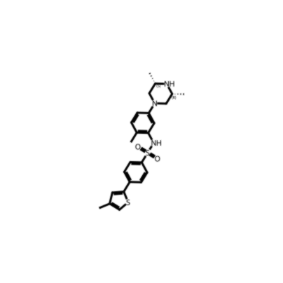 Cc1csc(-c2ccc(S(=O)(=O)Nc3cc(N4C[C@@H](C)N[C@@H](C)C4)ccc3C)cc2)c1